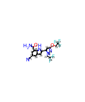 N#Cc1cc(C(N)=O)c2[nH]c(-c3cc(OCC(F)(F)F)nn3CC(F)F)cc2c1